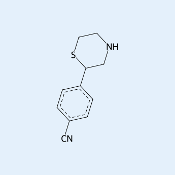 N#Cc1ccc(C2CNCCS2)cc1